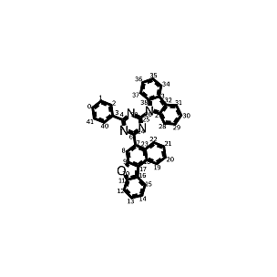 c1ccc(-c2nc(-c3cc4oc5ccccc5c4c4ccccc34)nc(-n3c4ccccc4c4ccccc43)n2)cc1